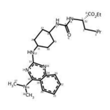 CCOC(=O)[C@H](CC(C)C)NC(=O)NC1CCC(Nc2nc(N(C)C)c3ccccc3n2)CC1